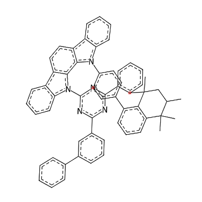 CC1CC(C)(C)c2c(-c3ccc(-n4c5ccccc5c5ccc6c7ccccc7n(-c7nc(-c8ccccc8)nc(-c8cccc(-c9ccccc9)c8)n7)c6c54)cc3)cccc2C1(C)C